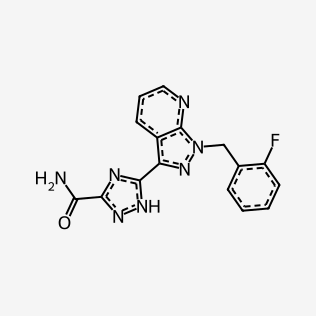 NC(=O)c1n[nH]c(-c2nn(Cc3ccccc3F)c3ncccc23)n1